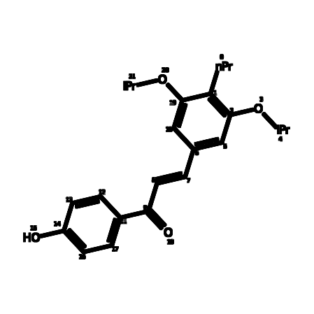 CCCc1c(OC(C)C)cc(C=CC(=O)c2ccc(O)cc2)cc1OC(C)C